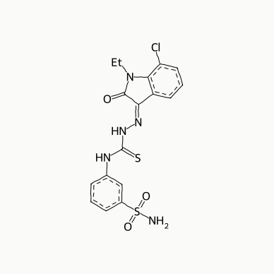 CCN1C(=O)C(=NNC(=S)Nc2cccc(S(N)(=O)=O)c2)c2cccc(Cl)c21